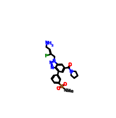 CNS(=O)(=O)c1cccc(-c2cc(C(=O)N3CCCC3)cc3c2nnn3C/C(F)=C/CN)c1